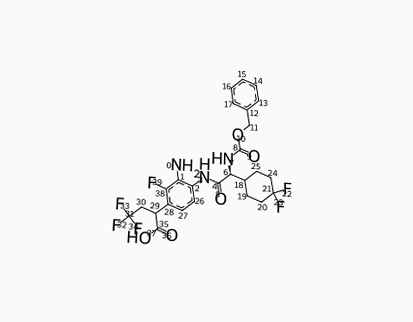 Nc1c(NC(=O)[C@@H](NC(=O)OCc2ccccc2)C2CCC(F)(F)CC2)ccc(C(CC(F)(F)F)C(=O)O)c1F